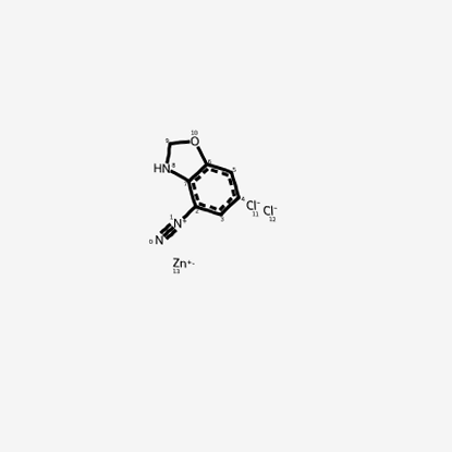 N#[N+]c1cccc2c1NCO2.[Cl-].[Cl-].[Zn+]